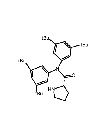 CC(C)(C)c1cc(N(C(=O)[C@@H]2CCCN2)c2cc(C(C)(C)C)cc(C(C)(C)C)c2)cc(C(C)(C)C)c1